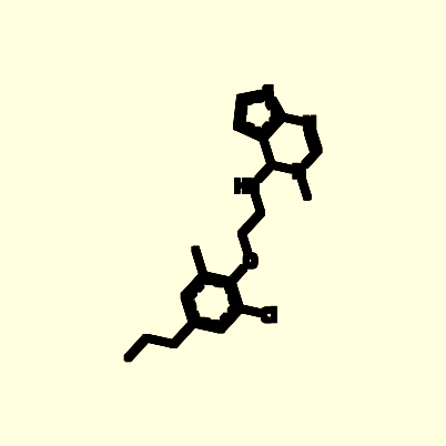 CCCc1cc(C)c(OCCNC2c3ccsc3N=CN2C)c(Cl)c1